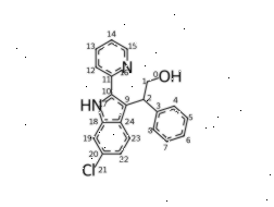 OCC(c1ccccc1)c1c(-c2ccccn2)[nH]c2cc(Cl)ccc12